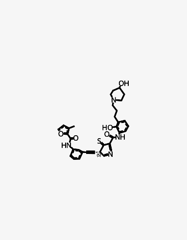 Cc1ccoc1C(=O)Nc1cccc(C#C[C@H]2C=NC=C(C(=O)Nc3cccc(CCCN4CCC(O)CC4)c3O)C2=S)c1